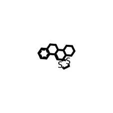 C1=C2c3ccccc3CCC2C2CCCCC2C12SCCS2